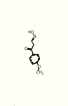 COc1ccc(C(=O)CC=NO)cc1